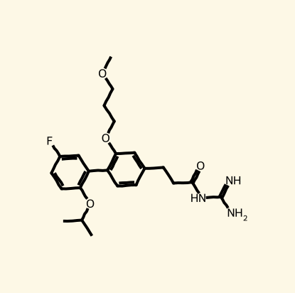 COCCCOc1cc(CCC(=O)NC(=N)N)ccc1-c1cc(F)ccc1OC(C)C